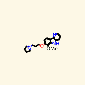 COc1c(OCCCN2CCCC2)ccc2c1[nH]c1cccnc12